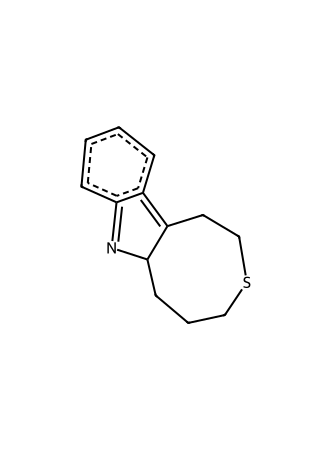 c1ccc2c(c1)=NC1CCCSCCC=21